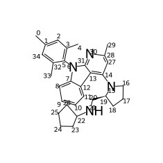 Cc1cc(C)c(-n2c3ccccc3c3c(N4CCC[C@H]4CNC4CCCC4)cc(C)nc32)c(C)c1